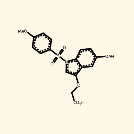 COc1ccc(S(=O)(=O)n2cc(OCC(=O)O)c3cc(OC)ccc32)cc1